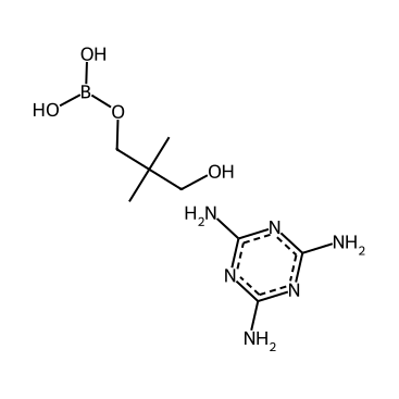 CC(C)(CO)COB(O)O.Nc1nc(N)nc(N)n1